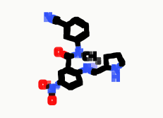 CN(C(=O)c1cc([N+](=O)[O-])ccc1/N=C/C1CCCN1)c1cccc(C#N)c1